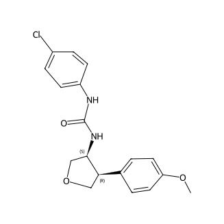 COc1ccc([C@H]2COC[C@H]2NC(=O)Nc2ccc(Cl)cc2)cc1